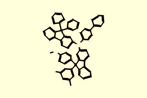 Cc1cc(C)cc(C2(c3ccc(OC(C)C)cc3)c3ccccc3-c3ccc(N(c4ccc(-c5ccccc5)cc4)c4ccc5c(c4)C(c4ccccc4)(c4ccccc4)c4ccccc4-5)cc32)c1